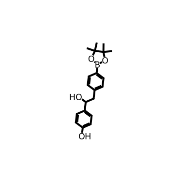 CC1(C)OB(c2ccc(CC(O)c3ccc(O)cc3)cc2)OC1(C)C